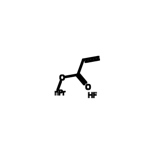 C=CC(=O)OCCC.F